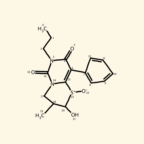 CCCn1c(=O)c(-c2ccccc2)c2n(c1=O)CC(C)C(O)[S+]2[O-]